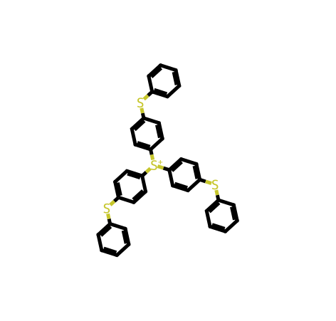 c1ccc(Sc2ccc([S+](c3ccc(Sc4ccccc4)cc3)c3ccc(Sc4ccccc4)cc3)cc2)cc1